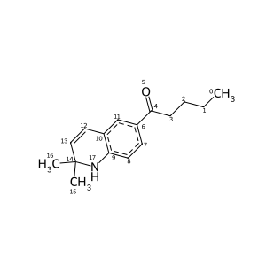 CCCCC(=O)c1ccc2c(c1)C=CC(C)(C)N2